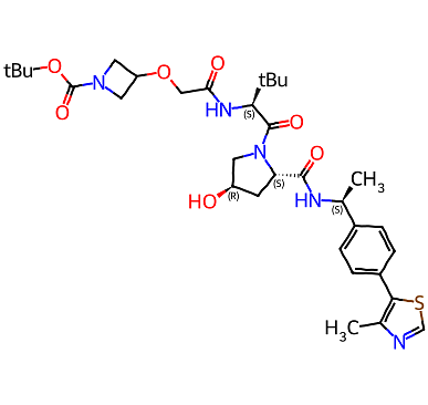 Cc1ncsc1-c1ccc([C@H](C)NC(=O)[C@@H]2C[C@@H](O)CN2C(=O)[C@@H](NC(=O)COC2CN(C(=O)OC(C)(C)C)C2)C(C)(C)C)cc1